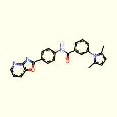 Cc1ccc(C)n1-c1cccc(C(=O)Nc2ccc(-c3nc4ncccc4o3)cc2)c1